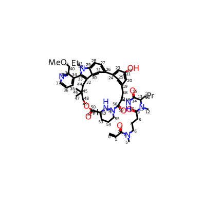 C=CC(=O)N(C)CCCC(=O)N(C)C(C(=O)N[C@H]1Cc2cc(O)cc(c2)-c2ccc3c(c2)c(c(-c2cccnc2COC)n3CC)CC(C)(C)COC(=O)[C@@H]2CCCN(N2)C1=O)C(C)C